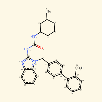 CCCCC1CCCC(NC(=O)Nc2nc3ccccc3n2Cc2ccc(-c3ccccc3C(=O)O)cc2)C1